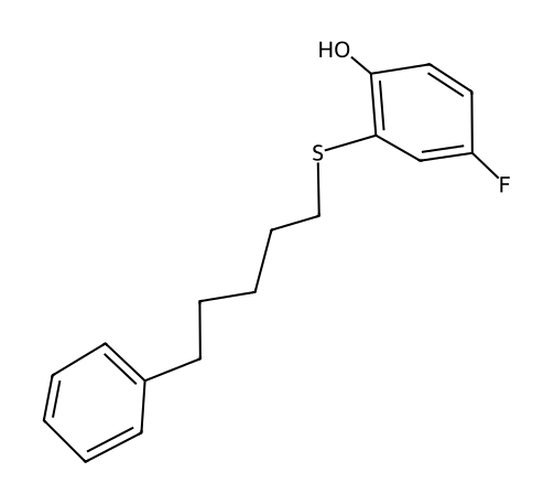 Oc1ccc(F)cc1SCCCCCc1ccccc1